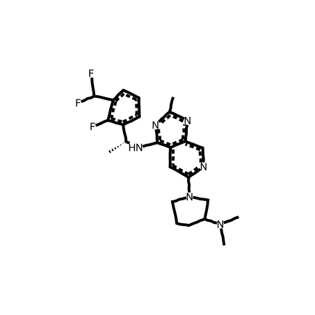 Cc1nc(N[C@H](C)c2cccc(C(F)F)c2F)c2cc(N3CCCC(N(C)C)C3)ncc2n1